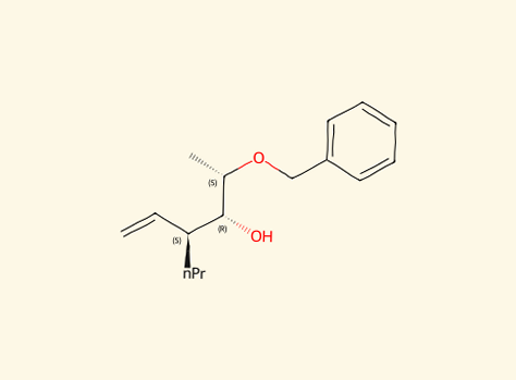 C=C[C@H](CCC)[C@@H](O)[C@H](C)OCc1ccccc1